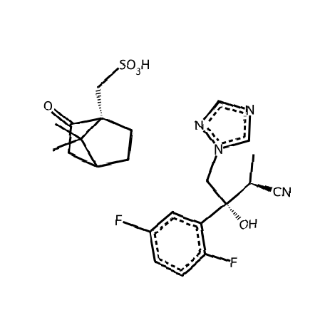 CC1(C)C2CC[C@]1(CS(=O)(=O)O)C(=O)C2.C[C@@H](C#N)[C@](O)(Cn1cncn1)c1cc(F)ccc1F